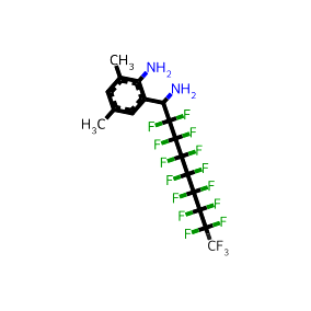 Cc1cc(C)c(N)c(C(N)C(F)(F)C(F)(F)C(F)(F)C(F)(F)C(F)(F)C(F)(F)C(F)(F)C(F)(F)F)c1